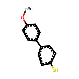 CCCCOc1ccc(-c2ccc(S)cc2)cc1